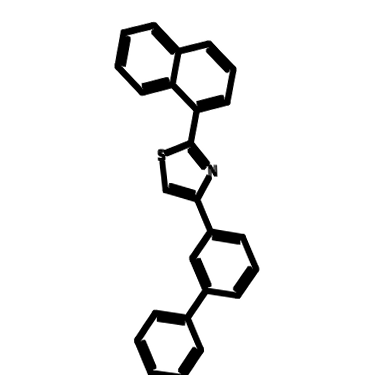 c1ccc(-c2cccc(-c3csc(-c4cccc5ccccc45)n3)c2)cc1